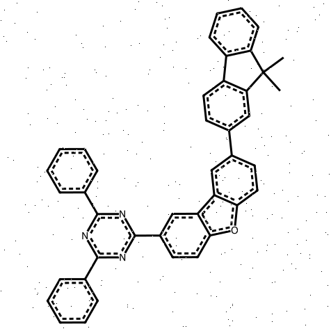 CC1(C)c2ccccc2-c2ccc(-c3ccc4oc5ccc(-c6nc(-c7ccccc7)nc(-c7ccccc7)n6)cc5c4c3)cc21